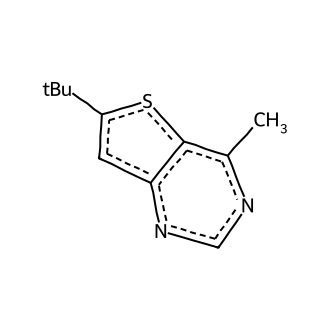 Cc1ncnc2cc(C(C)(C)C)sc12